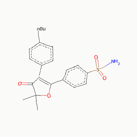 CCCCc1ccc(C2=C(c3ccc(S(N)(=O)=O)cc3)OC(C)(C)C2=O)cc1